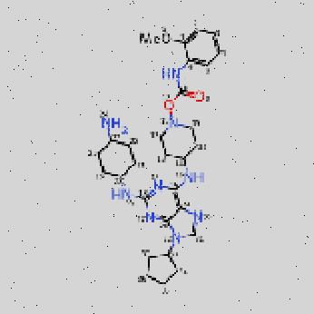 COc1ccccc1NC(=O)ON1CCC(Nc2nc(N[C@H]3CC[C@H](N)CC3)nc3c2ncn3C2CCCC2)CC1